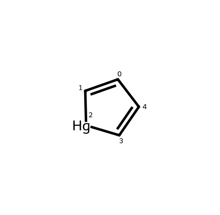 C1=[CH][Hg][CH]=C1